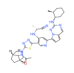 CC(=O)N[C@@H]1[C@@H]2CC[C@H]1CN(c1nnc(-c3cnc(-c4ccc5cnc(N[C@@H]6CCCC[C@@H]6C)nn45)cc3N[C@H](C)C#N)s1)C2